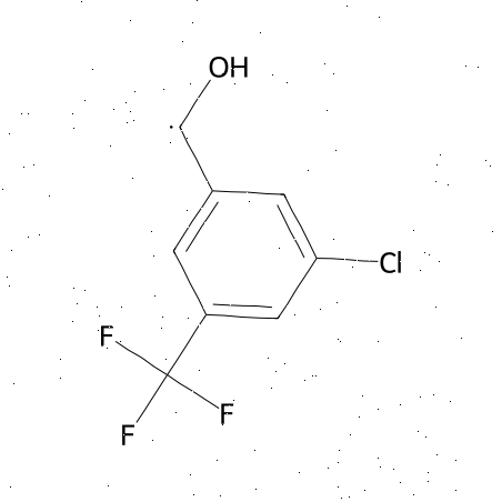 O[CH]c1cc(Cl)cc(C(F)(F)F)c1